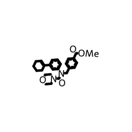 COC(=O)c1ccc(CN(C(=O)N2CCOCC2)c2cccc(C3=CCCCC3)c2)cc1